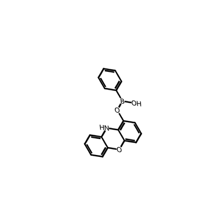 OB(Oc1cccc2c1Nc1ccccc1O2)c1ccccc1